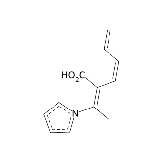 C=C/C=C\C(C(=O)O)=C(/C)n1cccc1